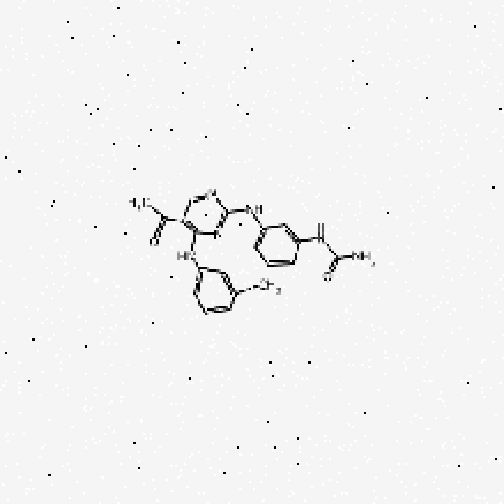 CC(=O)c1cnc(Nc2cccc(NC(N)=O)c2)nc1Nc1cccc(C)c1